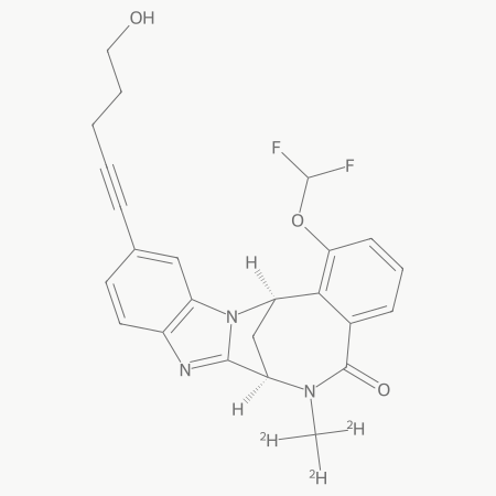 [2H]C([2H])([2H])N1C(=O)c2cccc(OC(F)F)c2[C@H]2C[C@@H]1c1nc3ccc(C#CCCCO)cc3n12